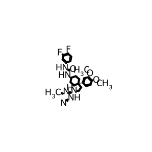 CCN=C(NC#N)N1CC[C@]2(c3ccc(OC)c(OC)c3)CC[C@@H](NC(=O)Nc3ccc(F)c(F)c3)C[C@H]12